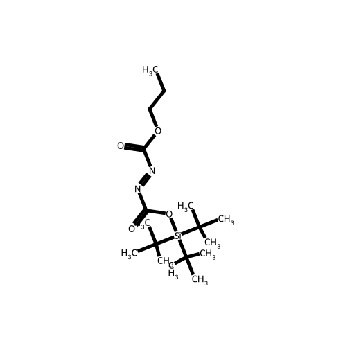 CCCOC(=O)/N=N/C(=O)O[Si](C(C)(C)C)(C(C)(C)C)C(C)(C)C